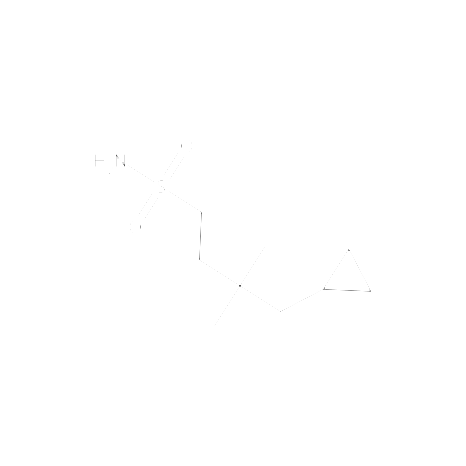 CC(C)(CCS(N)(=O)=O)CC1CC1